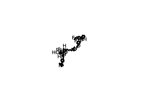 Cc1ncsc1-c1ccc(CNC(=O)[C@@H]2C[C@@H](O)CN2C(=O)[C@@H](NC(=O)CCCCN2CCN(CCOc3cc(F)c([C@@H]4c5[nH]c6ccccc6c5C[C@@H](C)N4CC(C)(C)F)c(F)c3)CC2)C(C)(C)C)cc1